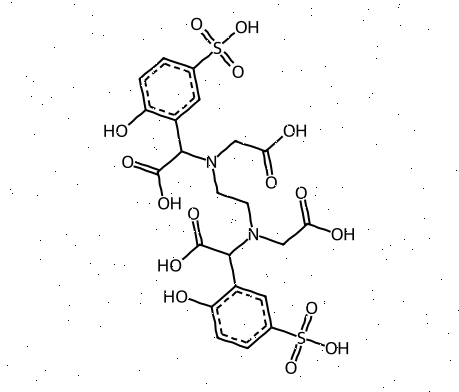 O=C(O)CN(CCN(CC(=O)O)C(C(=O)O)c1cc(S(=O)(=O)O)ccc1O)C(C(=O)O)c1cc(S(=O)(=O)O)ccc1O